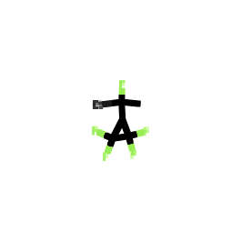 [CH2]CC(C)(F)[C]1C(F)(F)C1(F)F